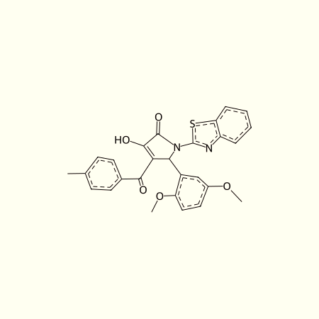 COc1ccc(OC)c(C2C(C(=O)c3ccc(C)cc3)=C(O)C(=O)N2c2nc3ccccc3s2)c1